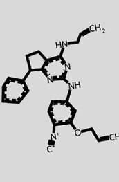 [C-]#[N+]c1ccc(Nc2nc(NCC=C)c3c(n2)C(c2ccccc2)CC3)cc1OCC=C